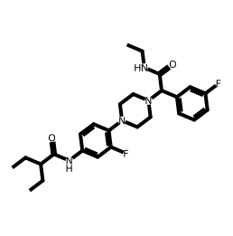 CCNC(=O)C(c1cccc(F)c1)N1CCN(c2ccc(NC(=O)C(CC)CC)cc2F)CC1